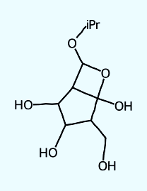 CC(C)OC1OC2(O)C(CO)C(O)C(O)C12